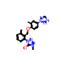 Cc1cc(-n2ncnn2)ccc1OCc1c(C)cccc1-n1nnn(C)c1=O